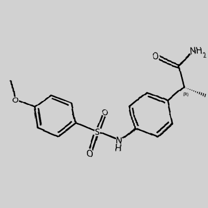 COc1ccc(S(=O)(=O)Nc2ccc([C@@H](C)C(N)=O)cc2)cc1